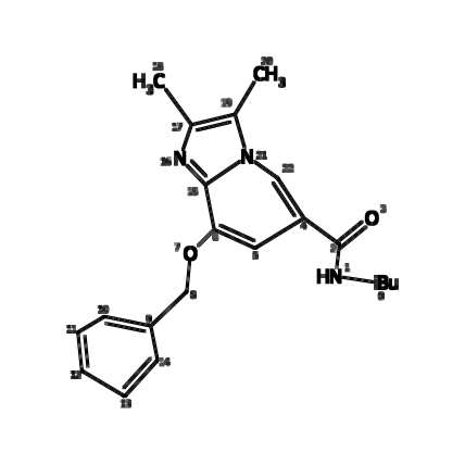 CCC(C)NC(=O)c1cc(OCc2ccccc2)c2nc(C)c(C)n2c1